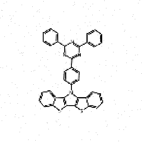 c1ccc(-c2nc(-c3ccccc3)nc(-c3ccc(-n4c5c6ccccc6sc5c5sc6ccccc6c54)cc3)n2)cc1